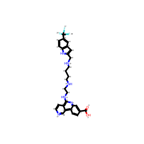 O=C(O)c1ccc2c(c1)nc(NCCNCCCCNCc1cc3cc(C(F)(F)F)ccc3[nH]1)c1ccncc12